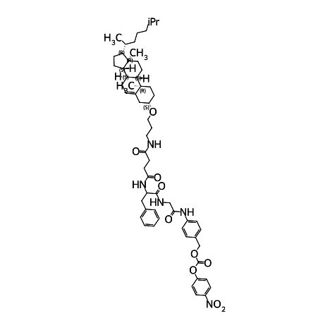 CC(C)CCCC(C)[C@H]1CC[C@H]2[C@@H]3CC=C4C[C@@H](OCCCNC(=O)CCC(=O)NC(Cc5ccccc5)C(=O)NCC(=O)Nc5ccc(COC(=O)Oc6ccc([N+](=O)[O-])cc6)cc5)CC[C@]4(C)[C@H]3CC[C@]12C